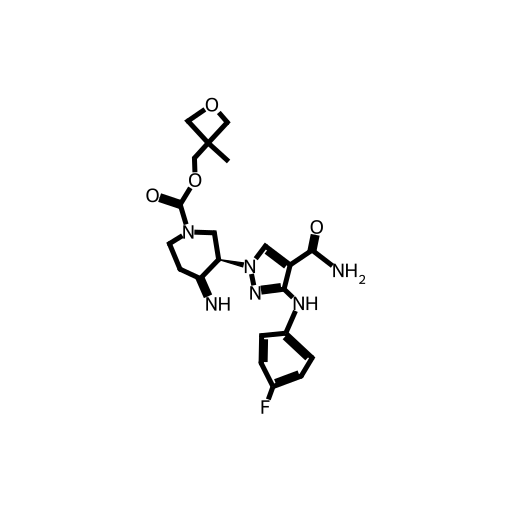 CC1(COC(=O)N2CCC(=N)[C@H](n3cc(C(N)=O)c(Nc4ccc(F)cc4)n3)C2)COC1